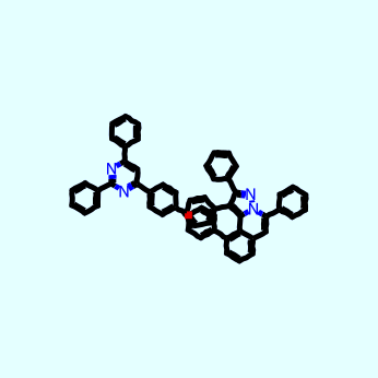 c1ccc(-c2cc(-c3ccc(-c4ccc(-c5cccc6cc(-c7ccccc7)n7nc(-c8ccccc8)c(-c8ccccc8)c7c56)cc4)cc3)nc(-c3ccccc3)n2)cc1